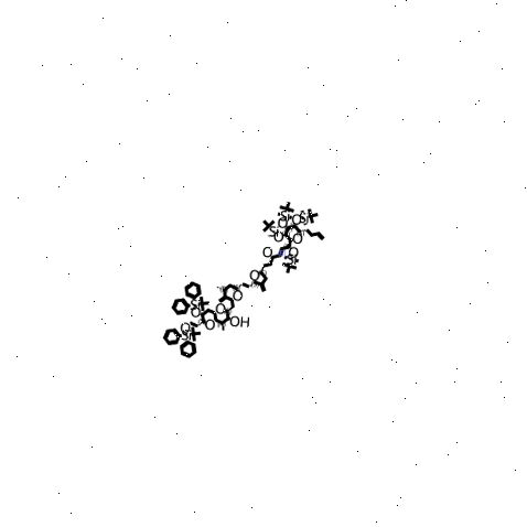 C=CCC[C@@H]1OC([C@H](/C=C/C(=O)CC[C@H]2CC(=C)[C@H](CC[C@H]3C[C@@H](C)C(=C)C(C[C@@H]4OC5CC(O[Si](c6ccccc6)(c6ccccc6)C(C)(C)C)[C@@H](CCO[Si](c6ccccc6)(c6ccccc6)C(C)(C)C)OC5[C@H](C)C4O)O3)O2)O[Si](C)(C)C(C)(C)C)[C@@H](O[Si](C)(C)C(C)(C)C)[C@@H](O[Si](C)(C)C(C)(C)C)[C@H]1O[Si](C)(C)C(C)(C)C